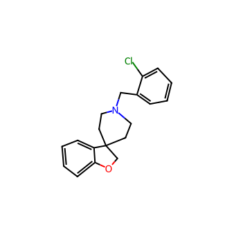 Clc1ccccc1CN1CCC2(CC1)COc1ccccc12